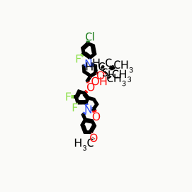 COc1ccc(CN2C(=O)CCc3c(OCC4(O)CCN(c5ccc(Cl)cc5F)CC4O[Si](C)(C)C(C)(C)C)cc(F)c(F)c32)cc1